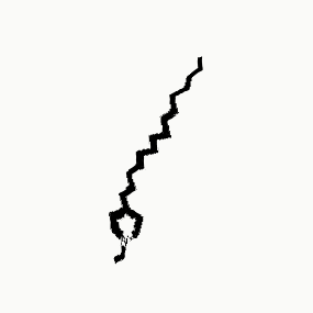 CCCCCCCCCCCCCCCc1cc[n+](CC)cc1